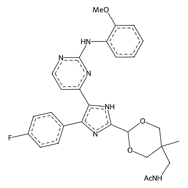 COc1ccccc1Nc1nccc(-c2[nH]c(C3OCC(C)(CNC(C)=O)CO3)nc2-c2ccc(F)cc2)n1